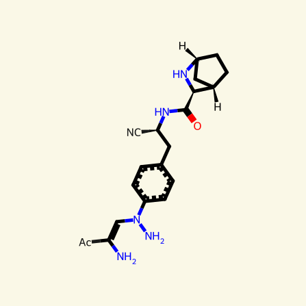 CC(=O)/C(N)=C/N(N)c1ccc(C[C@@H](C#N)NC(=O)[C@H]2N[C@@H]3CC[C@H]2C3)cc1